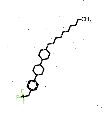 CCCCCCCCCCC1CCC(C2CCC(c3ccc(CC(F)(F)F)cc3)CC2)CC1